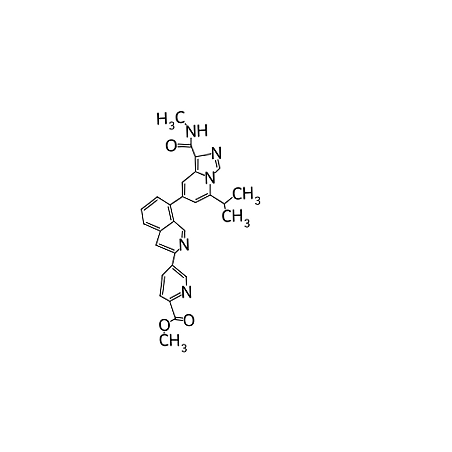 CNC(=O)c1ncn2c(C(C)C)cc(-c3cccc4cc(-c5ccc(C(=O)OC)nc5)ncc34)cc12